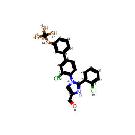 O=Cc1cn(-c2ccc(-c3cccc(SC(S)(S)S)c3)cc2Cl)c(-c2ccccc2Cl)n1